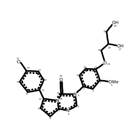 COc1cc(-n2cnc3ccc(-c4ccc(Cl)cc4)n3c2=O)ccc1OCC(O)CO